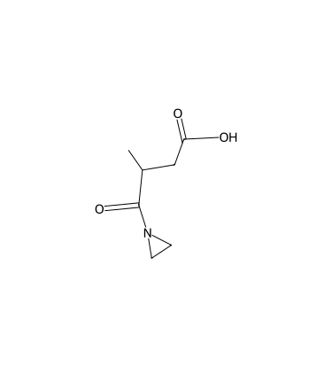 CC(CC(=O)O)C(=O)N1CC1